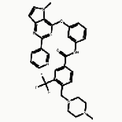 CN1CCN(Cc2ccc(C(=O)Nc3cccc(Oc4nc(-c5cccnc5)nc5ccn(C)c45)c3)cc2C(F)(F)F)CC1